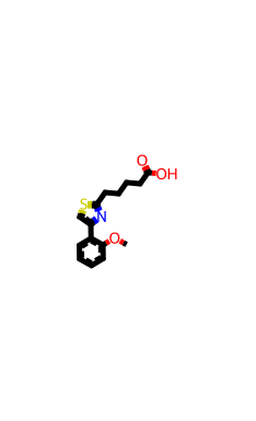 COc1ccccc1-c1csc(CCCCC(=O)O)n1